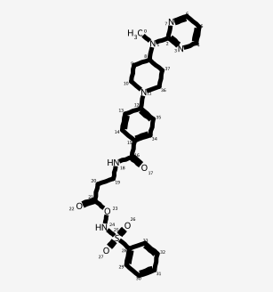 CN(c1ncccn1)C1CCN(c2ccc(C(=O)NCCC(=O)ONS(=O)(=O)c3ccccc3)cc2)CC1